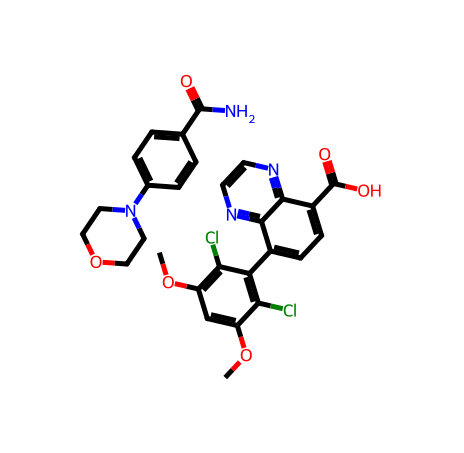 COc1cc(OC)c(Cl)c(-c2ccc(C(=O)O)c3nccnc23)c1Cl.NC(=O)c1ccc(N2CCOCC2)cc1